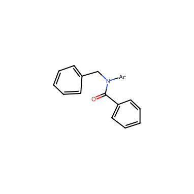 CC(=O)N(Cc1ccccc1)C(=O)c1ccccc1